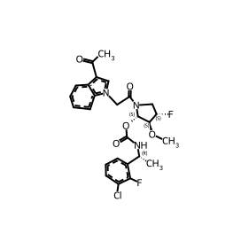 CO[C@@H]1[C@@H](F)CN(C(=O)Cn2cc(C(C)=O)c3ccccc32)[C@H]1OC(=O)N[C@H](C)c1cccc(Cl)c1F